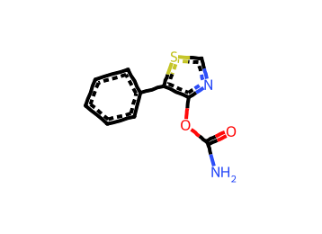 NC(=O)Oc1ncsc1-c1ccccc1